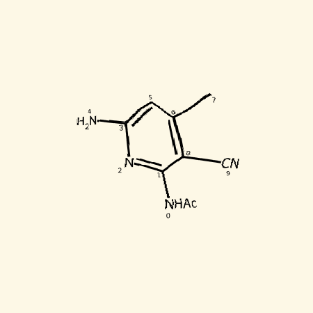 CC(=O)Nc1nc(N)cc(C)c1C#N